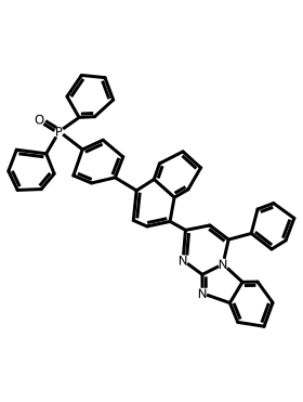 O=P(c1ccccc1)(c1ccccc1)c1ccc(-c2ccc(-c3cc(-c4ccccc4)n4c(n3)nc3ccccc34)c3ccccc23)cc1